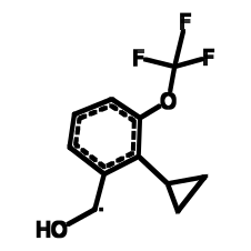 O[CH]c1cccc(OC(F)(F)F)c1C1CC1